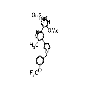 C/N=C(OC)\C(=C/NC=O)c1cc(-c2ccn(Cc3cccc(OC(F)(F)F)c3)c2)c(C)nn1